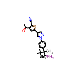 BC(C)(C)C(B)(c1ccc(-n2cc(-c3cc(C(C)=O)c(C#N)s3)cn2)cc1)C(C)P